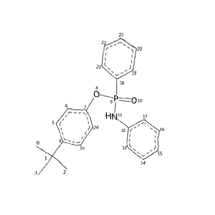 CC(C)(C)c1ccc(OP(=O)(Nc2ccccc2)c2ccccc2)cc1